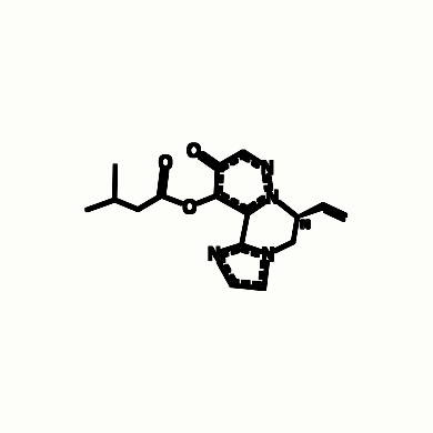 C=C[C@H]1Cn2ccnc2-c2c(OC(=O)CC(C)C)c(=O)cnn21